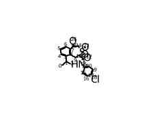 CC(C)c1cccc2c1CC(C(=O)Nc1ccc(Cl)cc1)S(=O)(=O)CC2=O